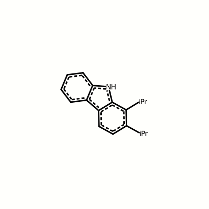 CC(C)c1ccc2c([nH]c3ccccc32)c1C(C)C